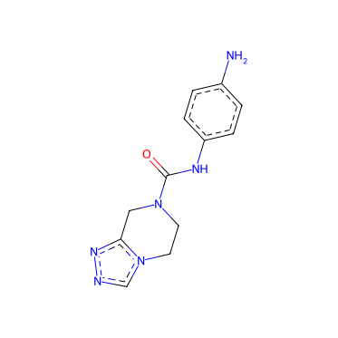 Nc1ccc(NC(=O)N2CCn3cnnc3C2)cc1